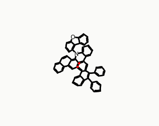 c1ccc(-c2c(-c3ccccc3)c3cc(-c4ccccc4N(c4cccc5c4ccc4ccccc45)c4cccc5oc6ccccc6c45)ccc3c3ccccc23)cc1